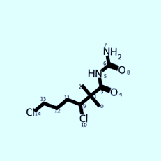 CC(C)(C(=O)NC(N)=O)C(Cl)CCCCl